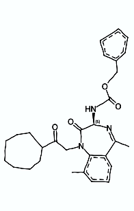 CC1=N[C@H](NC(=O)OCc2ccccc2)C(=O)N(CC(=O)C2CCCCCCC2)c2c(C)cccc21